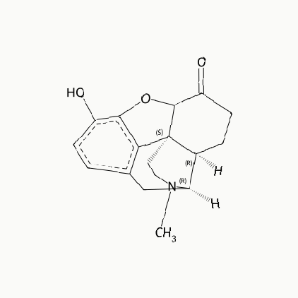 CN1CC[C@]23c4c5ccc(O)c4OC2C(=O)CC[C@H]3[C@H]1C5